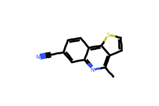 Cc1nc2cc(C#N)ccc2c2sccc12